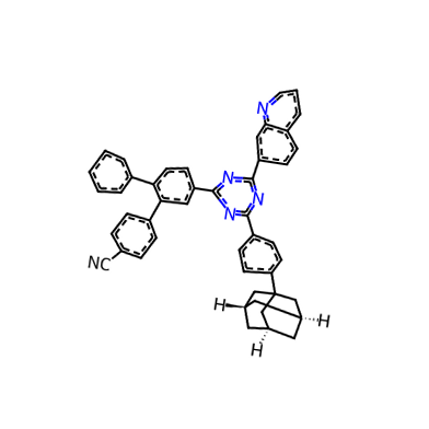 N#Cc1ccc(-c2cc(-c3nc(-c4ccc(C56C[C@H]7C[C@H](C5)C[C@@H](C6)C7)cc4)nc(-c4ccc5cccnc5c4)n3)ccc2-c2ccccc2)cc1